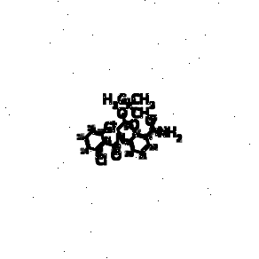 CC(C)(C)OC(=O)CN(C(=O)c1c(Cl)cccc1Cl)c1cccc(C(N)=O)c1